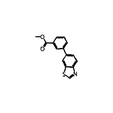 COC(=O)c1cccc(-c2ccc3ncsc3c2)c1